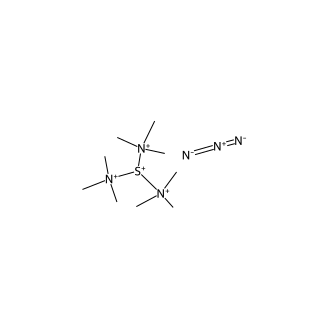 C[N+](C)(C)[S+]([N+](C)(C)C)[N+](C)(C)C.[N-]=[N+]=[N-]